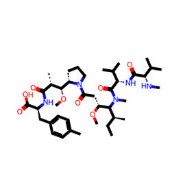 CC[C@H](C)C([C@@H](CC(=O)N1CCC[C@H]1[C@H](OC)[C@@H](C)C(=O)N[C@@H](Cc1ccc(C)cc1)C(=O)O)OC)N(C)C(=O)[C@@H](NC(=O)[C@@H](NC)C(C)C)C(C)C